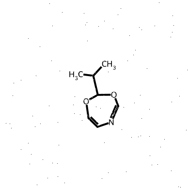 CC(C)C1OC=CN=CO1